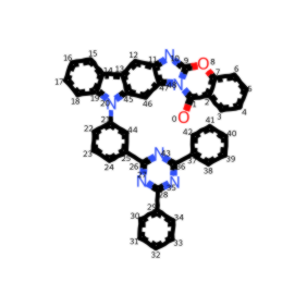 O=c1c2ccccc2oc2nc3cc4c5ccccc5n(-c5cccc(-c6nc(-c7ccccc7)nc(-c7ccccc7)n6)c5)c4cc3n12